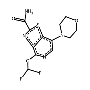 NC(=O)c1nc2c(OC(F)F)ncc(N3CCOCC3)c2s1